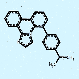 CC(C)c1ccc(-c2cccc3c4ccccc4c4nccn4c23)cc1